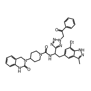 CCc1cc(CC(NC(=O)N2CCC(N3Cc4ccccc4NC3=O)CC2)c2nnn(CC(=O)c3ccccc3)n2)cc2c(C)n[nH]c12